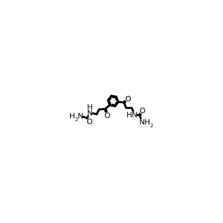 NC(=O)NCCC(=O)c1cccc(C(=O)CCNC(N)=O)c1